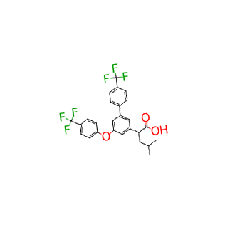 CC(C)CC(C(=O)O)c1cc(Oc2ccc(C(F)(F)F)cc2)cc(-c2ccc(C(F)(F)F)cc2)c1